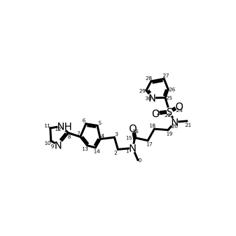 CN(CCc1ccc(C2=NCCN2)cc1)C(=O)CCCN(C)S(=O)(=O)c1ccccn1